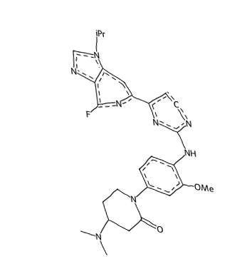 COc1cc(N2CCC(N(C)C)CC2=O)ccc1Nc1nccc(-c2cc3c(ncn3C(C)C)c(F)n2)n1